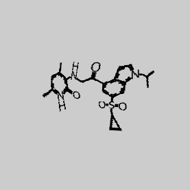 Cc1cc(C)c(NCC(=O)c2cc(S(=O)(=O)C3CC3)cc3c2ccn3C(C)C)c(=O)[nH]1